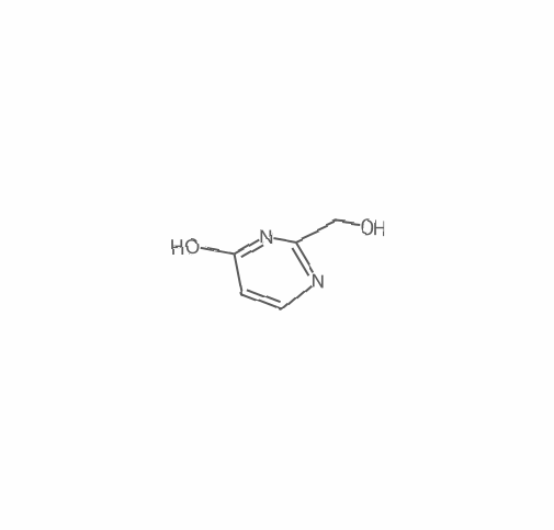 OCc1nccc(O)n1